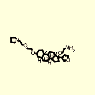 C[C@]12CC[C@H](OCCOCCN3CCCC3)C[C@H]1CC[C@@H]1[C@@H]2CC[C@@]2(C)[C@H]1CC[C@@]2(OCCN)c1ccoc1